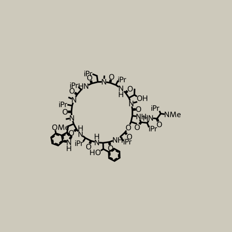 CNC(C(=O)NC(C(=O)NC1C(=O)N(C)C(C(C)O)C(=O)NC(C(C)C)C(=O)N(C)C(CC(C)C)C(=O)NC(C(C)C)C(=O)N(C)C(C(C)C)C(=O)N(C)C(Cc2c[nH]c3cccc(OC)c23)C(=O)NC(C(C)C)C(=O)NC(C(O)c2ccccc2)C(=O)NC(C(C)C)C(=O)OC1C)C(C)C)C(C)C